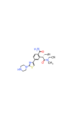 CC(C)C[C@H](C(=O)N(C)CC#N)c1cc(-c2csc(N3CCNCC3)n2)ccc1C(N)=O